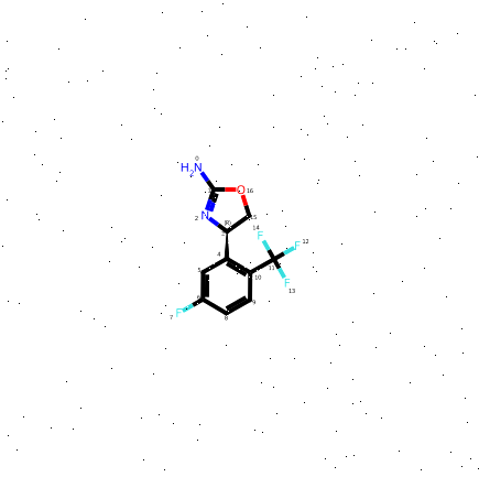 NC1=N[C@H](c2cc(F)ccc2C(F)(F)F)CO1